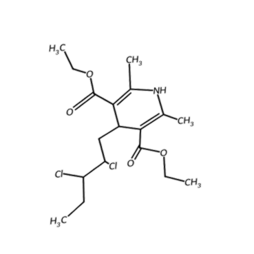 CCOC(=O)C1=C(C)NC(C)=C(C(=O)OCC)C1CC(Cl)C(Cl)CC